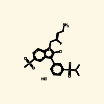 CN(C)S(=O)(=O)c1cccc(-c2c(Cl)n(C/C(F)=C/CN)c3ccc(S(C)(=O)=O)cc23)c1.Cl